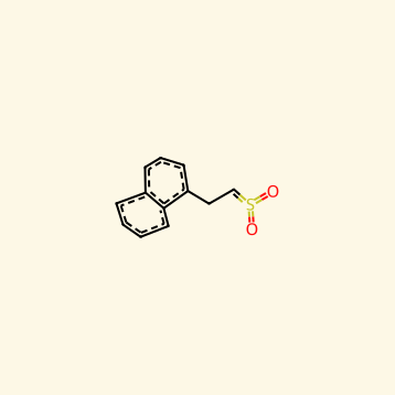 O=S(=O)=CCc1cccc2ccccc12